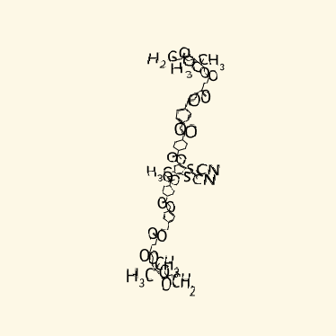 C=CC(=O)OCC(C)(C)COC(=O)CCC(=O)COCc1ccc(OC(=O)C2CCC(C(=O)Oc3cc(C)c(OC(=O)C4CCC(C(=O)Oc5ccc(CCOC(=O)CCC(=O)OCC(C)(C)COC(=O)C=C)cc5)CC4)c4c3SC(=C(C#N)C#N)S4)CC2)cc1